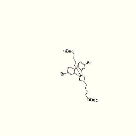 CCCCCCCCCCCCCCC1C[C@]23CC(CCCCCCCCCCCCCC)C[C@@]2(C1)c1cc(Br)ccc1-c1ccc(Br)cc13